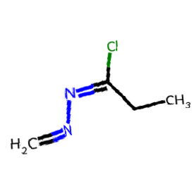 C=N/N=C(/Cl)CC